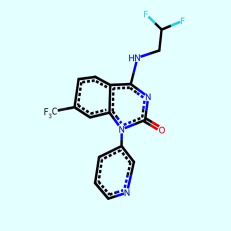 O=c1nc(NCC(F)F)c2ccc(C(F)(F)F)cc2n1-c1cccnc1